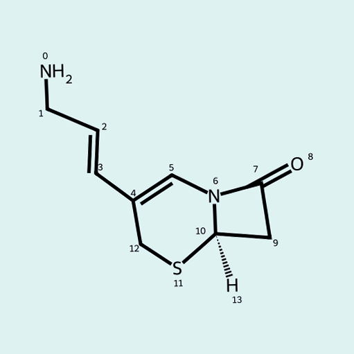 NCC=CC1=CN2C(=O)C[C@H]2SC1